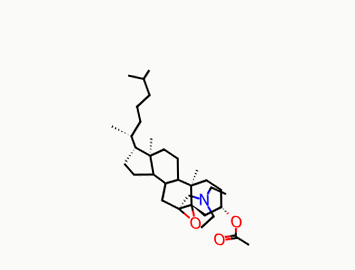 CCN(CC)C[C@]12CC3C4CC[C@H]([C@H](C)CCCC(C)C)[C@@]4(C)CCC3[C@@]3(C)CC[C@H](OC(C)=O)C[C@@]13O2